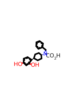 O=C(O)N(Cc1ccccc1)[C@H]1CC[C@H](c2ccc(O)cc2O)CC1